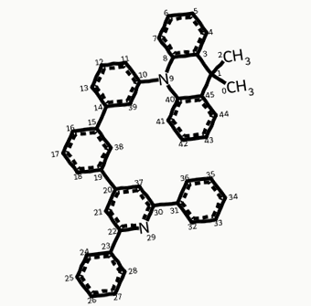 CC1(C)c2ccccc2N(c2cccc(-c3cccc(-c4cc(-c5ccccc5)nc(-c5ccccc5)c4)c3)c2)c2ccccc21